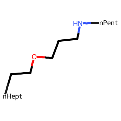 [CH2]CCCCCCCCOCCCNCCCCC